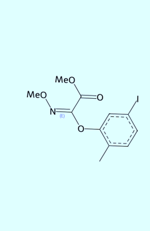 CO/N=C(/Oc1cc(I)ccc1C)C(=O)OC